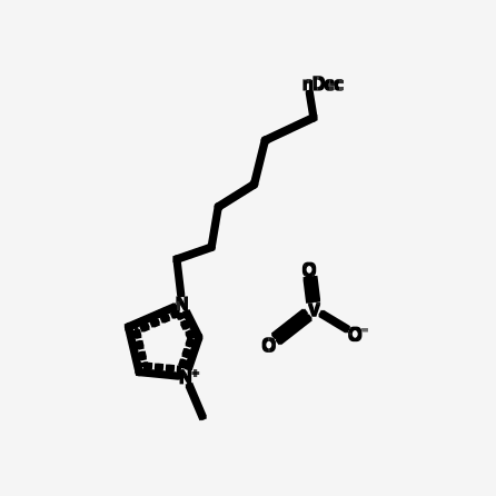 CCCCCCCCCCCCCCCCn1cc[n+](C)c1.[O]=[V](=[O])[O-]